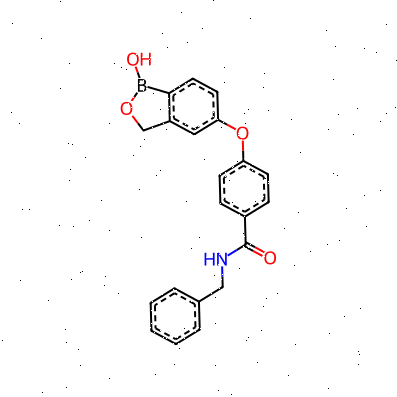 O=C(NCc1ccccc1)c1ccc(Oc2ccc3c(c2)COB3O)cc1